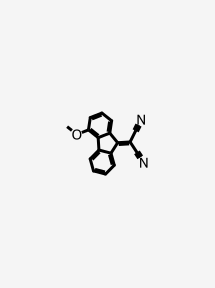 COc1cccc2c1-c1ccccc1C2=C(C#N)C#N